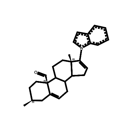 C[C@H]1CC[C@@]2(C=O)C(=CCC3C2CC[C@]2(C)C(n4ccc5ccccc54)=CCC32)C1